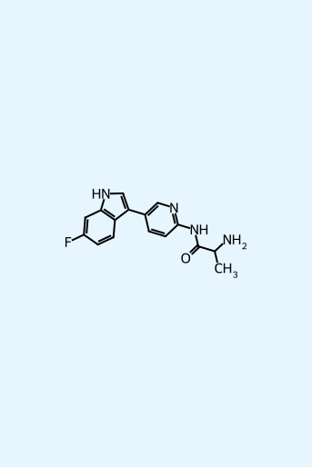 CC(N)C(=O)Nc1ccc(-c2c[nH]c3cc(F)ccc23)cn1